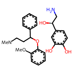 CNCCC(Oc1ccccc1OC)c1ccccc1.NC[C@H](O)c1ccc(O)c(O)c1